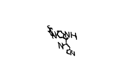 N#C/C(=C\c1cccnc1)c1c[nH]c2ccc(N=C=S)cc12